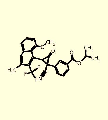 COc1cccc2cc(C)c(C(F)(F)F)c(C3C(=O)C3(C#N)c3cccc(C(=O)OC(C)C)c3)c12